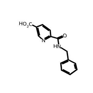 O=C(O)c1ccc(C(=O)NCc2ccccc2)nc1